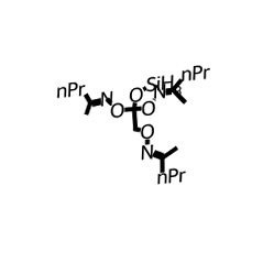 CCCC(C)=NOCC(O[SiH3])(ON=C(C)CCC)ON=C(C)CCC